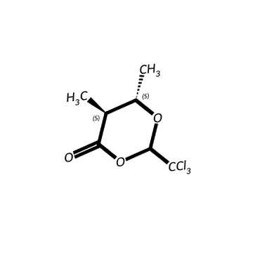 C[C@@H]1OC(C(Cl)(Cl)Cl)OC(=O)[C@H]1C